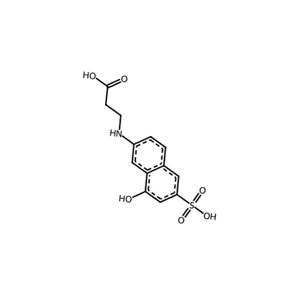 O=C(O)CCNc1ccc2cc(S(=O)(=O)O)cc(O)c2c1